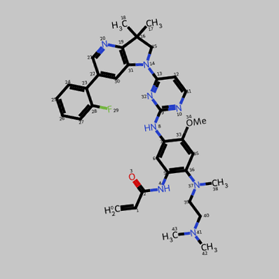 C=CC(=O)Nc1cc(Nc2nccc(N3CC(C)(C)c4ncc(-c5ccccc5F)cc43)n2)c(OC)cc1N(C)CCN(C)C